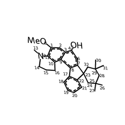 COc1cc2c(O)cc3c(c2c2c1N(C)CCC2)-c1ccccc1C31CC(C)(C)CC(C)(C)C1